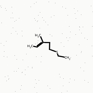 [CH2]CSCCC(C)=CC